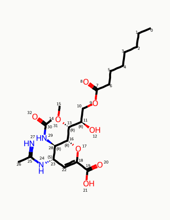 CCCCCCCC(=O)OC[C@@H](O)[C@@H](OC)[C@@H]1OC(C(=O)O)=C[C@H](NC(C)=N)[C@H]1NC(C)=O